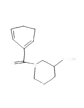 O=C(O)C1CCCN(C(=O)C2=CC[CH]C=C2)C1